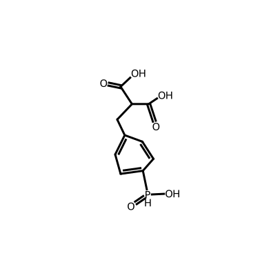 O=C(O)C(Cc1ccc([PH](=O)O)cc1)C(=O)O